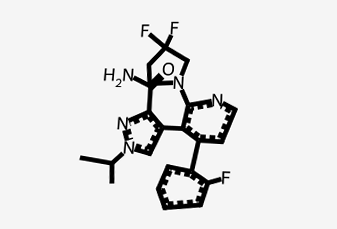 CC(C)n1cc(-c2c(-c3ccccc3F)ccnc2N2CCC(F)(F)C2)c(C(N)=O)n1